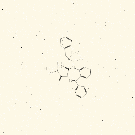 CN[C@](CC1=CC=CCC1)(C(=O)O)N(C(C)=O)N1C(=O)C(C(=O)C(N)CS)N=C(c2ccccc2)c2ccccc21